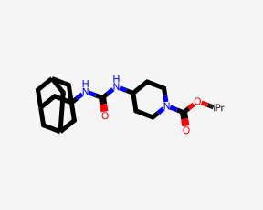 CC(C)OC(=O)N1CCC(NC(=O)NC23CC4CC(CC(C4)C2)C3)CC1